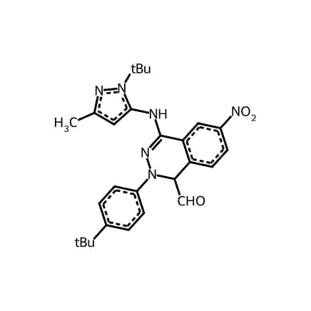 Cc1cc(NC2=NN(c3ccc(C(C)(C)C)cc3)C(C=O)c3ccc([N+](=O)[O-])cc32)n(C(C)(C)C)n1